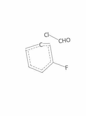 Fc1ccccc1.O=CCl